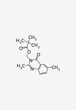 Cc1ccc2nc(C)n(COC(=O)C(C)(C)C)c(=O)c2c1